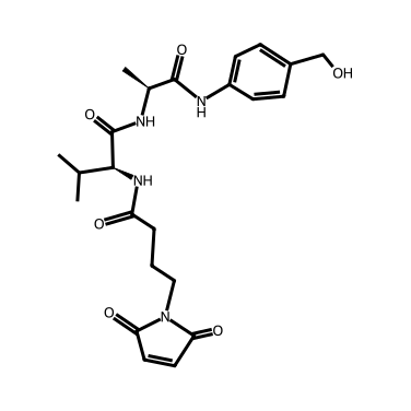 CC(C)[C@H](NC(=O)CCCN1C(=O)C=CC1=O)C(=O)N[C@@H](C)C(=O)Nc1ccc(CO)cc1